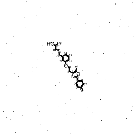 Cc1ccc(-c2nc(CCOc3cccc(CSCC(=O)O)c3)c(C)o2)cc1